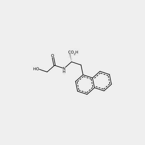 O=C(CO)N[C@@H](Cc1cccc2ccccc12)C(=O)O